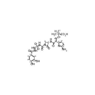 CC(C)(ON=C(C(=O)N[C@H]1CN(C(=O)NS(=O)(=O)NNC(=O)c2ccc(O)c(O)c2)C1=O)c1csc(N)n1)C(=O)O